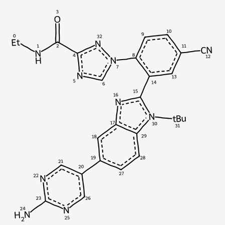 CCNC(=O)c1ncn(-c2ccc(C#N)cc2-c2nc3cc(-c4cnc(N)nc4)ccc3n2C(C)(C)C)n1